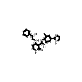 Cc1cc(C2=NCCN2)cc2[nH]c(-c3c(NC[C@@H](O)c4ccccc4)cc[nH]c3=O)nc12